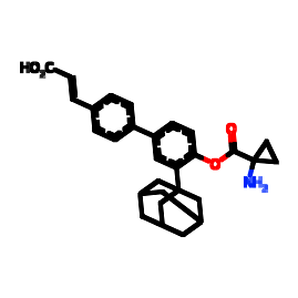 NC1(C(=O)Oc2ccc(-c3ccc(C=CC(=O)O)cc3)cc2C23CC4CC(CC(C4)C2)C3)CC1